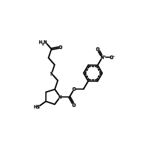 NC(=O)CCSCC1CC(S)CN1C(=O)OCc1ccc([N+](=O)[O-])cc1